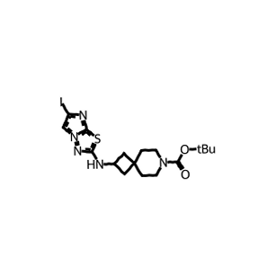 CC(C)(C)OC(=O)N1CCC2(CC1)CC(Nc1nn3cc(I)nc3s1)C2